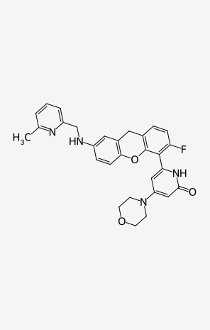 Cc1cccc(CNc2ccc3c(c2)Cc2ccc(F)c(-c4cc(N5CCOCC5)cc(=O)[nH]4)c2O3)n1